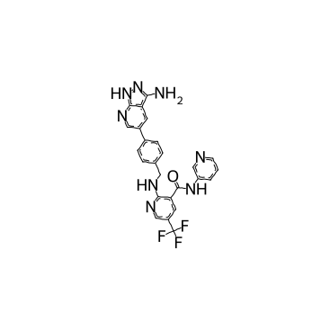 Nc1n[nH]c2ncc(-c3ccc(CNc4ncc(C(F)(F)F)cc4C(=O)Nc4cccnc4)cc3)cc12